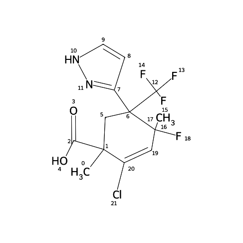 CC1(C(=O)O)CC(c2cc[nH]n2)(C(F)(F)F)C(C)(F)C=C1Cl